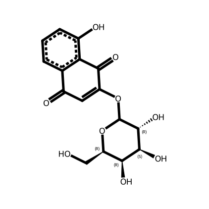 O=C1C=C(OC2O[C@H](CO)[C@H](O)[C@H](O)[C@H]2O)C(=O)c2c(O)cccc21